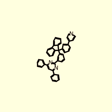 c1ccc(-c2cc(-c3ccccc3)nc(-c3cccc(C4(c5cccc(-c6ccncc6)c5)c5ccccc5-c5ccccc54)c3)n2)cc1